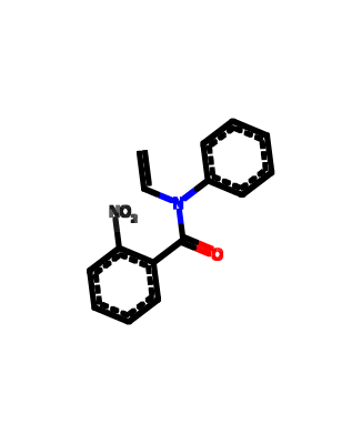 C=CN(C(=O)c1ccccc1[N+](=O)[O-])c1ccccc1